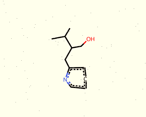 CC(C)C(CO)Cc1ccccn1